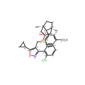 O=C(O)c1cccc([C@@]2(O)[C@@H]3CC[C@H]2C[C@@H](OCc2c(-c4c(Cl)cccc4Cl)noc2C2CC2)C3)c1